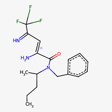 CCCC(C)N(Cc1ccccc1)C(=O)/C(N)=C/C(=N)C(F)(F)F